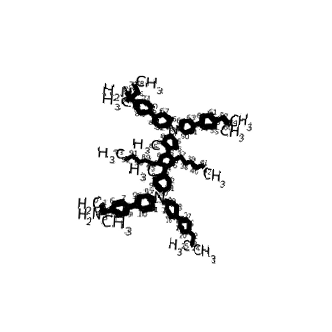 C=CC(C)(N)c1ccc(-c2ccc(N(c3ccc(-c4ccc(CC(C)C)cc4)cc3)c3ccc(-c4cc(CCCCCC)c(-c5ccc(N(c6ccc(-c7ccc(CC(C)C)cc7)cc6)c6ccc(-c7ccc(C(C)(N)CCC)cc7)cc6)cc5C)cc4CCCCCC)c(C)c3)cc2)cc1